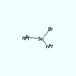 CC[CH2][Sn]([Br])[CH2]CC